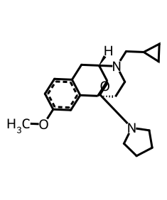 COc1ccc2c(c1)[C@@]13CCN(CC4CC4)[C@@H](C2)C1OCC(N1CCCC1)C3